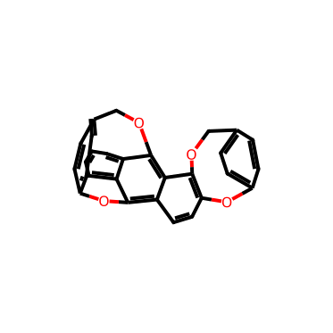 c1ccc2c3c4c5c(ccc4c(c2c1)Oc1ccc(cc1)CO3)Oc1ccc(cc1)CO5